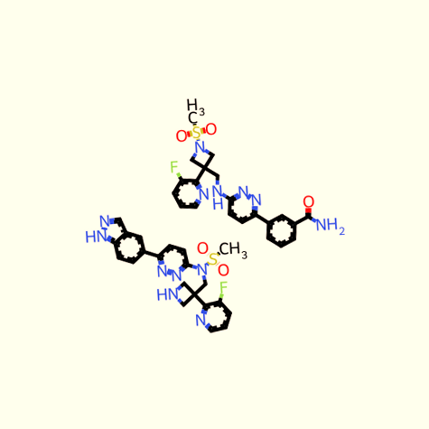 CS(=O)(=O)N(CC1(c2ncccc2F)CNC1)c1ccc(-c2ccc3[nH]ncc3c2)nn1.CS(=O)(=O)N1CC(CNc2ccc(-c3cccc(C(N)=O)c3)nn2)(c2ncccc2F)C1